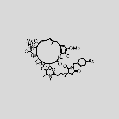 COc1cc2cc(c1Cl)N(C)C(=O)C[C@H](OC(=O)[C@H](C)N(C)C(=O)CCSC1CC(=O)N(CC3CCC(C(C)=O)CC3)C1=O)[C@]1(C)O[C@@H]1[C@H](C)[C@@H]1C[C@@](O)(NC(=O)O1)[C@H](OC)/C=C/C=C(\C)C2